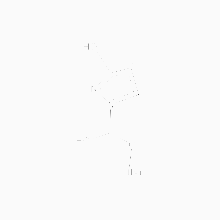 CC(C)(C)OC(O)n1ccc(O)n1